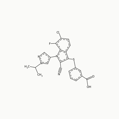 CC(C)n1cc(-n2c(C#N)c(Sc3cccc(C(=O)O)c3)c3ccc(Cl)c(F)c32)cn1